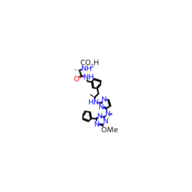 COc1nc(-c2ccccc2)nc(N(C)c2ccnc(N[C@@H](C)Cc3cccc(CNC(=O)[C@H](C)NC(=O)O)c3)n2)n1